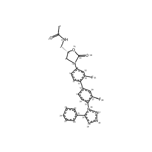 CC(=O)NC[C@H]1CN(c2ccc(-c3ccc(-n4nnnc4-c4ccccc4)c(F)c3)c(F)c2)C(=O)O1